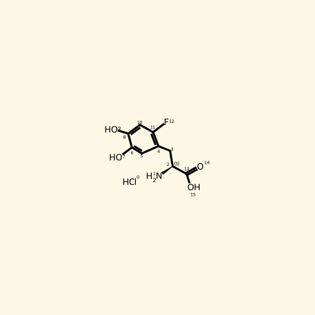 Cl.N[C@@H](Cc1cc(O)c(O)cc1F)C(=O)O